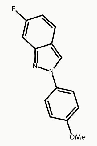 COc1ccc(-n2cc3ccc(F)cc3n2)cc1